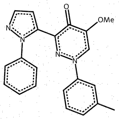 COc1cn(-c2cccc(C)c2)nc(-c2ccnn2-c2ccccc2)c1=O